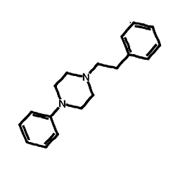 [c]1cccc(CCN2CCN(c3ccccc3)CC2)c1